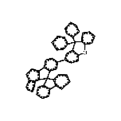 c1ccc(C2(c3ccccc3)c3ccccc3Oc3ccc(-c4ccc5c(c4)C4(c6ccccc6-c6ccccc64)c4c-5ccc5ccccc45)cc32)cc1